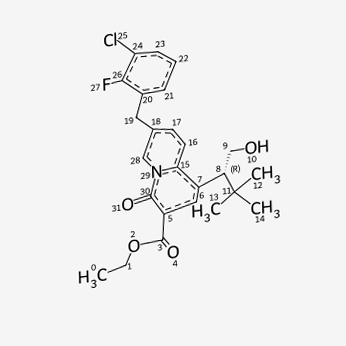 CCOC(=O)c1cc([C@H](CO)C(C)(C)C)c2ccc(Cc3cccc(Cl)c3F)cn2c1=O